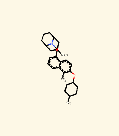 CC1CCC(Oc2ccc3c(CN4C5CCCC4CC(C(=O)O)C5)cccc3c2C(F)(F)F)CC1